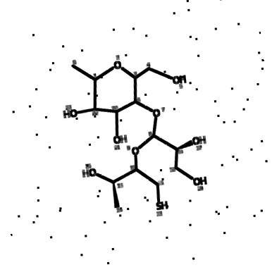 CC1OC(CO)C(OC(OC(CS)[C@@H](C)O)[C@@H](O)CO)C(O)C1O